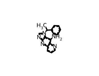 CC(c1ccccc1)n1cnc2nc3cccnc3c(N)c21